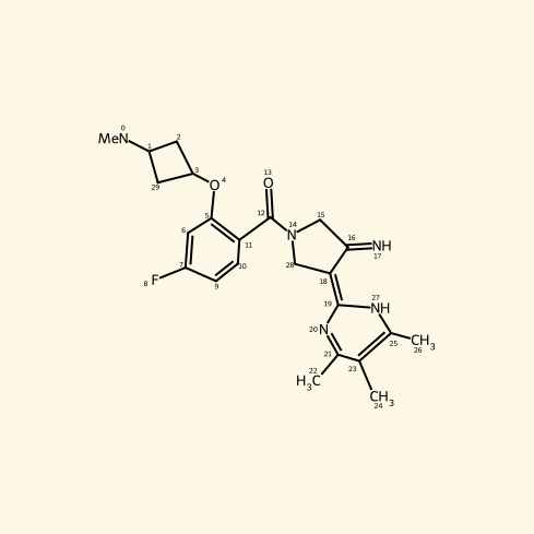 CNC1CC(Oc2cc(F)ccc2C(=O)N2CC(=N)/C(=C3/N=C(C)C(C)=C(C)N3)C2)C1